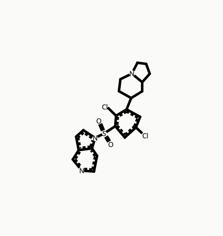 O=S(=O)(c1cc(Cl)cc(C2CCN3CCCC3C2)c1Cl)n1ccc2cnccc21